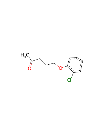 CC(=O)CCCOc1ccccc1Cl